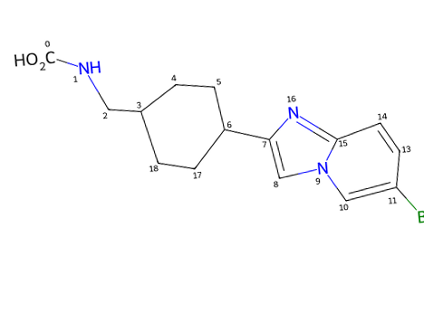 O=C(O)NCC1CCC(c2cn3cc(Br)ccc3n2)CC1